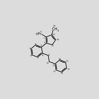 CCCC1=C(c2ccccc2CCc2ccccc2)CC=C1C